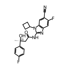 C[C@](O)(CC(=O)Nc1nc2cc(F)c(C#N)cc2n1C1CCC1)c1ccc(F)cc1